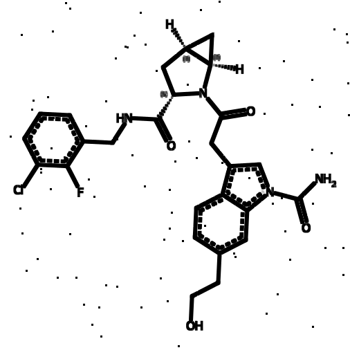 NC(=O)n1cc(CC(=O)N2[C@@H]3C[C@@H]3C[C@H]2C(=O)NCc2cccc(Cl)c2F)c2ccc(CCO)cc21